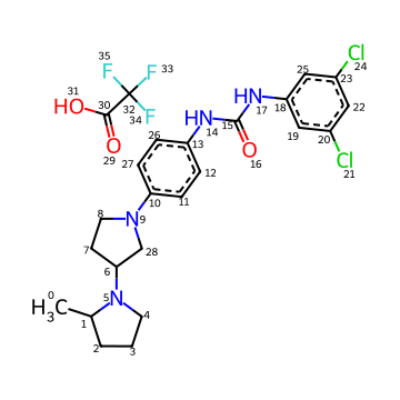 CC1CCCN1C1CCN(c2ccc(NC(=O)Nc3cc(Cl)cc(Cl)c3)cc2)C1.O=C(O)C(F)(F)F